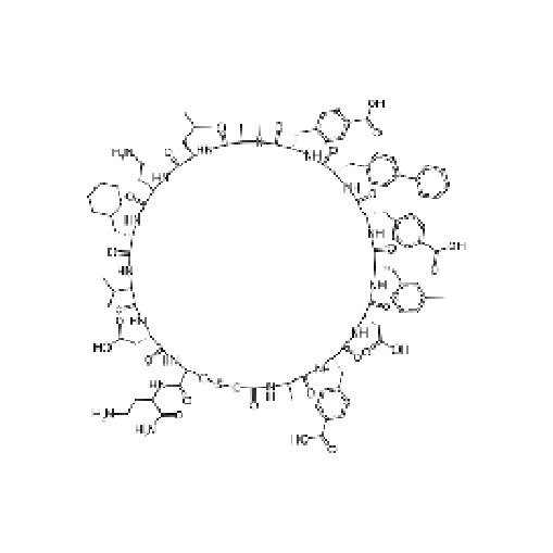 Cc1cccc(C[C@@H]2NC(=O)[C@H](CC(=O)O)NC(=O)[C@H](Cc3ccc(C(=O)O)cc3)NC(=O)C(C)NC(=O)CSCC(C(=O)NC(CCN)C(N)=O)NC(=O)[C@H](CC(=O)O)NC(=O)C(C(C)C)NC(=O)[C@H](CC3CCCCC3)NC(=O)C(CCN)NC(=O)[C@@H](CC(C)C)NC(=O)C(C)N(C)C(=O)[C@H](Cc3ccc(C(=O)O)cc3)NC(=O)[C@H](Cc3ccc(-c4ccccc4)cc3)NC(=O)[C@H](Cc3ccc(C(=O)O)cc3)NC2=O)c1